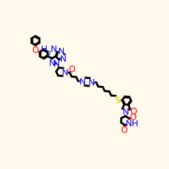 Nc1ncnc2c1c(-c1ccc(Oc3ccccc3)cc1)nn2[C@@H]1CCCN(C(=O)CCCN2CCN(CCCCCCCSc3cccc4c3CN(C3CCC(=O)NC3=O)C4=O)CC2)C1